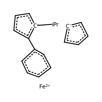 CC(C)[c-]1cccc1-c1ccccc1.[Fe+2].c1cc[cH-]c1